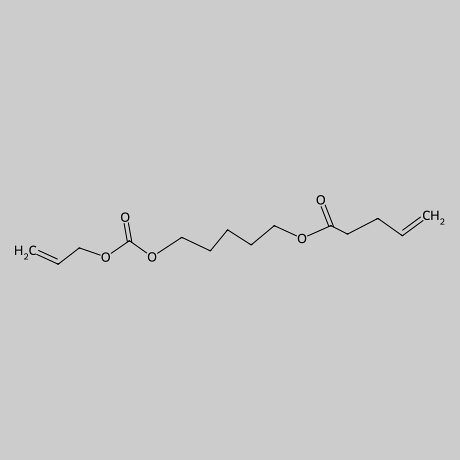 C=CCCC(=O)OCCCCCOC(=O)OCC=C